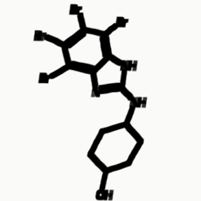 OC1CCC(Nc2nc3c(Br)c(Br)c(Br)c(Br)c3[nH]2)CC1